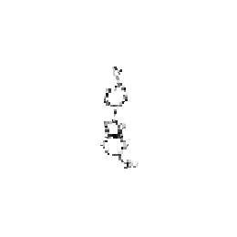 CC(C)(C)c1ccc2nc(-c3ccc(Br)cc3)oc2c1